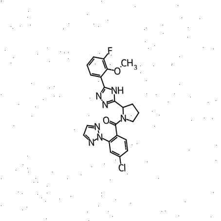 COc1c(F)cccc1-c1nnc(C2CCCN2C(=O)c2ccc(Cl)cc2-n2nccn2)[nH]1